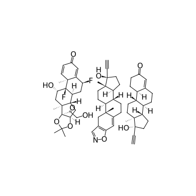 C#C[C@]1(O)CC[C@H]2[C@@H]3CCC4=CC(=O)CC[C@@H]4[C@H]3CC[C@@]21C.C#C[C@]1(O)CC[C@H]2[C@@H]3CCC4=Cc5oncc5C[C@]4(C)[C@H]3CC[C@@]21C.CC1(C)O[C@@H]2C[C@H]3[C@@H]4C[C@H](F)C5=CC(=O)C=C[C@]5(C)[C@@]4(F)[C@@H](O)C[C@]3(C)[C@]2(C(=O)CO)O1